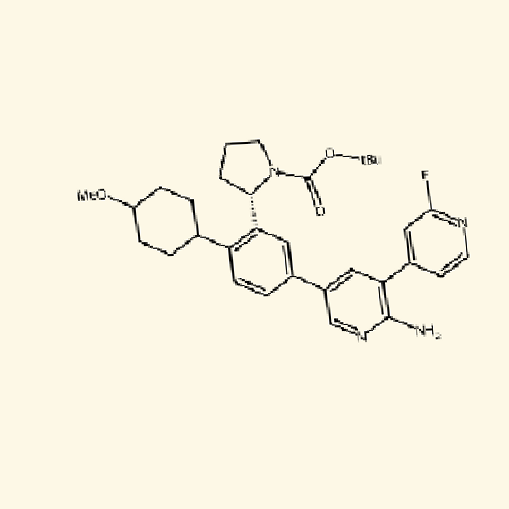 COC1CCC(c2ccc(-c3cnc(N)c(-c4ccnc(F)c4)c3)cc2[C@@H]2CCCN2C(=O)OC(C)(C)C)CC1